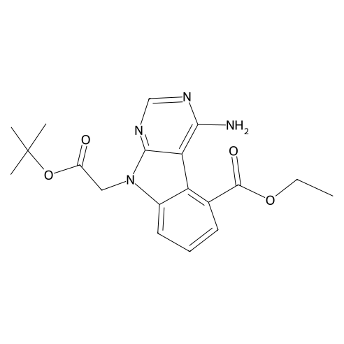 CCOC(=O)c1cccc2c1c1c(N)ncnc1n2CC(=O)OC(C)(C)C